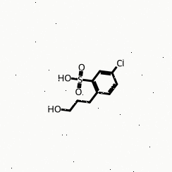 O=S(=O)(O)c1cc(Cl)ccc1CCCO